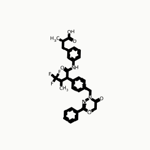 CC(Cc1cccc(NC(=O)C(c2ccc(CN3N=C(c4ccccc4)OCC3=O)cc2)C(C)C(F)(F)F)c1)C(=O)O